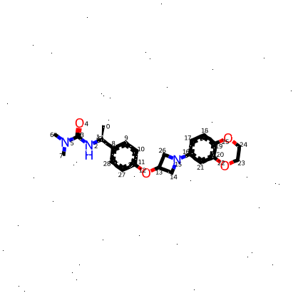 C[C@H](NC(=O)N(C)C)c1ccc(OC2CN(c3ccc4c(c3)OCCO4)C2)cc1